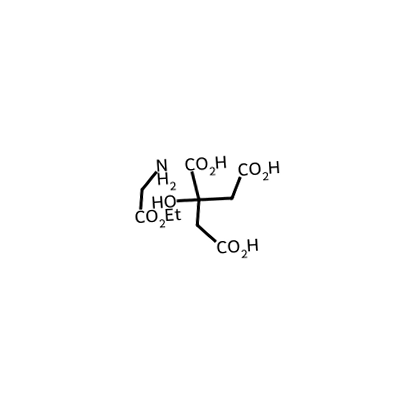 CCOC(=O)CN.O=C(O)CC(O)(CC(=O)O)C(=O)O